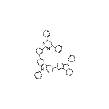 c1ccc(-c2cc(-c3ccccc3)nc(-c3cccc(-c4ccc5c(c4)c4cc(-c6ccc7c(c6)c6ccccc6n7-c6ccccc6)ccc4n5-c4ccccc4)c3)n2)cc1